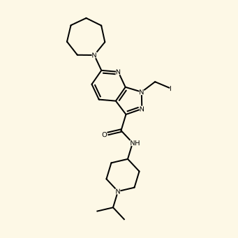 CC(C)N1CCC(NC(=O)c2nn(CI)c3nc(N4CCCCCC4)ccc23)CC1